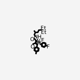 CCC(CC)CCC(C)CNC(=O)c1nn(-c2ccc(F)cc2F)c2c1COc1cc(C)ccc1-2